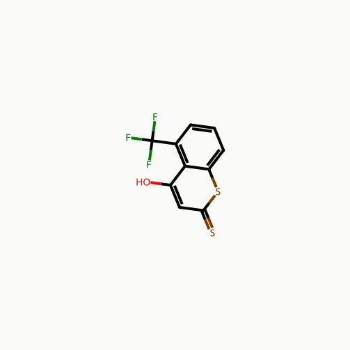 Oc1cc(=S)sc2cccc(C(F)(F)F)c12